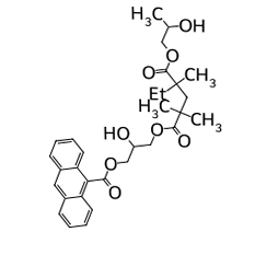 CCC(C)(CC(C)(C)C(=O)OCC(O)COC(=O)c1c2ccccc2cc2ccccc12)C(=O)OCC(C)O